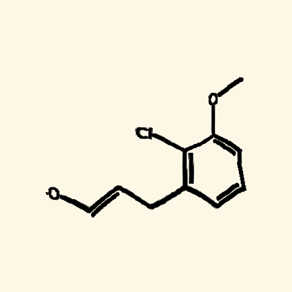 COc1cccc(CC=C[O])c1Cl